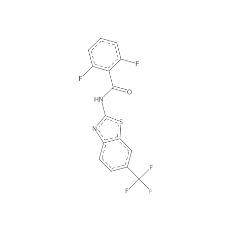 O=C(Nc1nc2ccc(C(F)(F)F)cc2s1)c1c(F)cccc1F